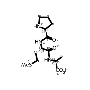 CSCC[C@H](NC(=O)[C@@H]1CCCN1)C(=O)N[C@@H](C)C(=O)O